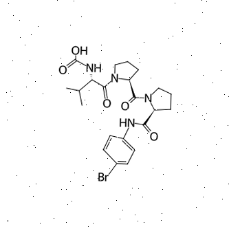 CC(C)[C@H](NC(=O)O)C(=O)N1CCC[C@H]1C(=O)N1CCC[C@H]1C(=O)Nc1ccc(Br)cc1